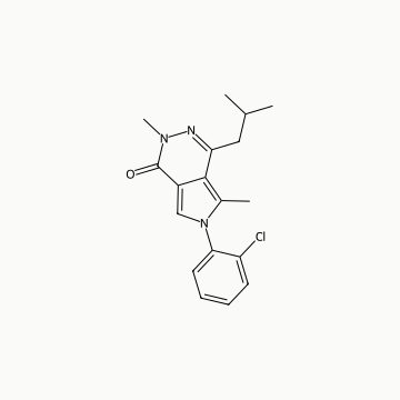 Cc1c2c(CC(C)C)nn(C)c(=O)c2cn1-c1ccccc1Cl